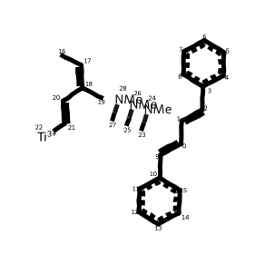 C(C=Cc1ccccc1)=Cc1ccccc1.CC=C(C)C=[CH][Ti+3].C[N-]C.C[N-]C.C[N-]C